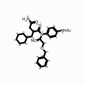 CC(=O)Nc1ccc(N(C(=O)C(CC(N)=O)CC2CCCCC2)C(C#N)COCc2ccccc2)cc1